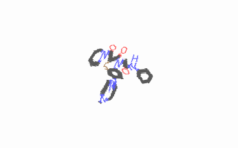 CN1CCN(c2ccc3c(c2)SC(C(=O)N2CCCCC2)C(=O)N3CC(=O)NC2CCCCC2)CC1